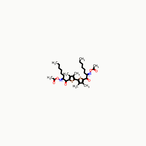 CCCCCC/C(=N\OC(C)=O)C(=O)c1sc(-c2sc(C(=O)/C(CCCCCC)=N/OC(C)=O)c(C)c2C)c(C)c1C